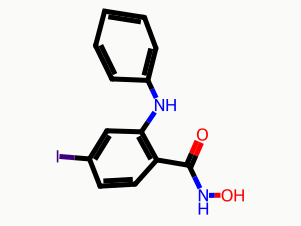 O=C(NO)c1ccc(I)cc1Nc1ccccc1